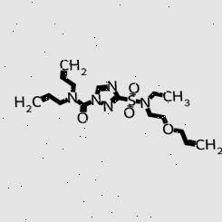 C=CCOCCN(CC)S(=O)(=O)c1ncn(C(=O)N(CC=C)CC=C)n1